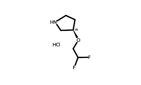 Cl.FC(F)CO[C@@H]1CCNC1